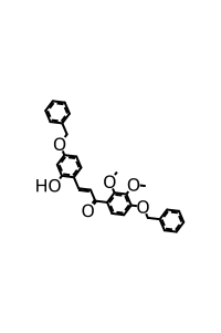 COc1c(OCc2ccccc2)ccc(C(=O)C=Cc2ccc(OCc3ccccc3)cc2O)c1OC